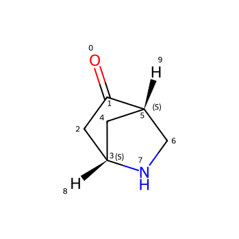 O=C1C[C@@H]2C[C@H]1CN2